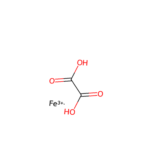 O=C(O)C(=O)O.[Fe+3]